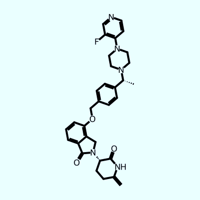 C=C1CC[C@H](N2Cc3c(OCc4ccc([C@@H](C)N5CCN(c6ccncc6F)CC5)cc4)cccc3C2=O)C(=O)N1